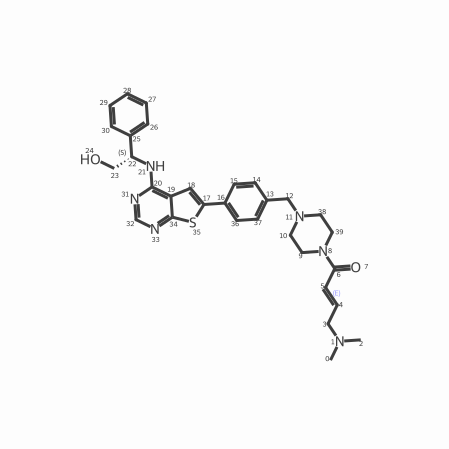 CN(C)C/C=C/C(=O)N1CCN(Cc2ccc(-c3cc4c(N[C@H](CO)c5ccccc5)ncnc4s3)cc2)CC1